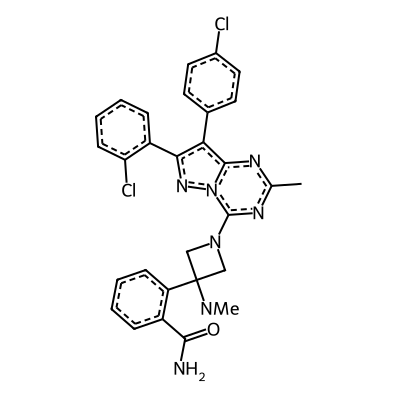 CNC1(c2ccccc2C(N)=O)CN(c2nc(C)nc3c(-c4ccc(Cl)cc4)c(-c4ccccc4Cl)nn23)C1